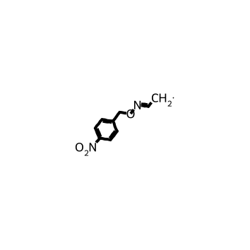 [CH2]C=NOCc1ccc([N+](=O)[O-])cc1